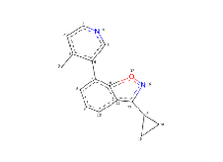 Cc1ccncc1-c1cccc2c(C3CC3)noc12